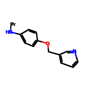 CC(C)Nc1ccc(OCc2cccnc2)cc1